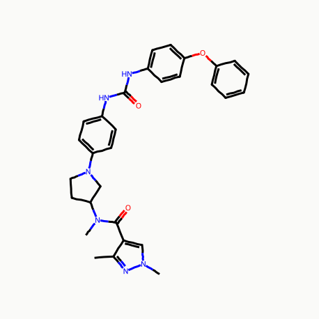 Cc1nn(C)cc1C(=O)N(C)C1CCN(c2ccc(NC(=O)Nc3ccc(Oc4ccccc4)cc3)cc2)C1